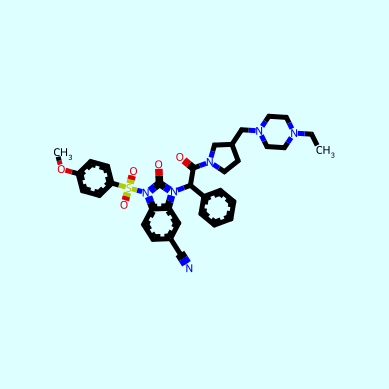 CCN1CCN(CC2CCN(C(=O)C(c3ccccc3)n3c(=O)n(S(=O)(=O)c4ccc(OC)cc4)c4ccc(C#N)cc43)C2)CC1